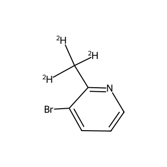 [2H]C([2H])([2H])c1ncccc1Br